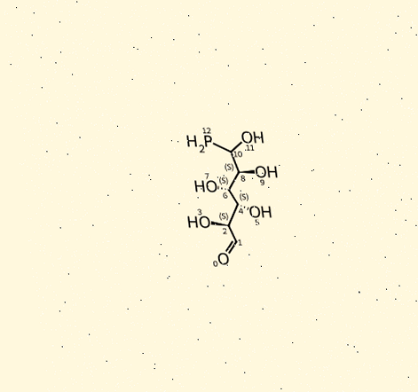 O=C[C@@H](O)[C@@H](O)[C@H](O)[C@H](O)C(O)P